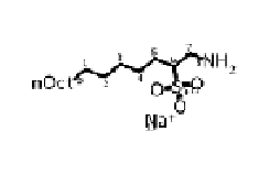 CCCCCCCCCCCCCC(CN)S(=O)(=O)[O-].[Na+]